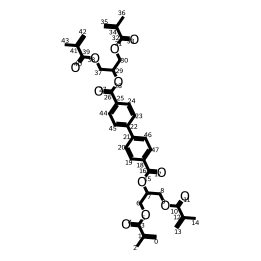 C=C(C)C(=O)OCC(COC(=O)C(=C)C)OC(=O)c1ccc(-c2ccc(C(=O)OC(COC(=O)C(=C)C)COC(=O)C(=C)C)cc2)cc1